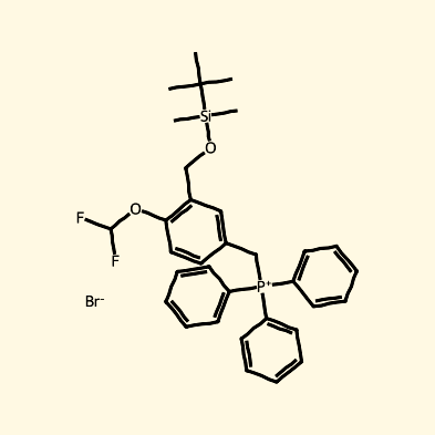 CC(C)(C)[Si](C)(C)OCc1cc(C[P+](c2ccccc2)(c2ccccc2)c2ccccc2)ccc1OC(F)F.[Br-]